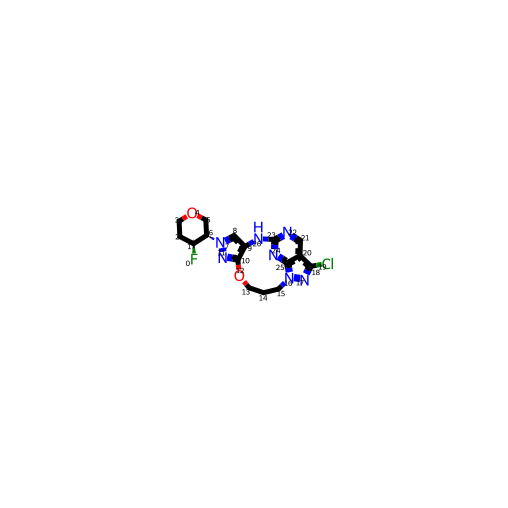 F[C@H]1CCOC[C@@H]1n1cc2c(n1)OCCCn1nc(Cl)c3cnc(nc31)N2